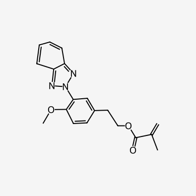 C=C(C)C(=O)OCCc1ccc(OC)c(-n2nc3ccccc3n2)c1